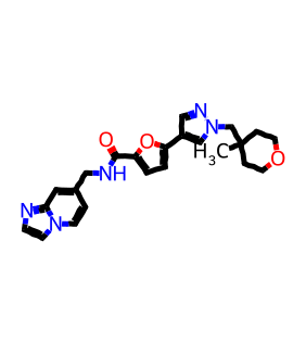 CC1(Cn2cc(-c3ccc(C(=O)NCc4ccn5ccnc5c4)o3)cn2)CCOCC1